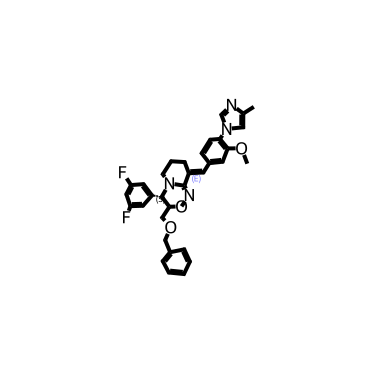 COc1cc(/C=C2\CCCN3C2=NOC(COCc2ccccc2)[C@@H]3c2cc(F)cc(F)c2)ccc1-n1cnc(C)c1